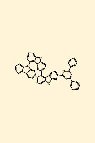 c1ccc(-c2nc(-c3ccccc3)nc(-c3ccc4c(c3)oc3cccc(-c5ccc6oc7cccc(-n8c9ccccc9c9ccccc98)c7c6c5)c34)n2)cc1